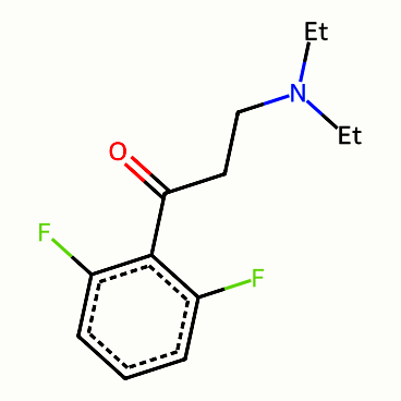 CCN(CC)CCC(=O)c1c(F)cccc1F